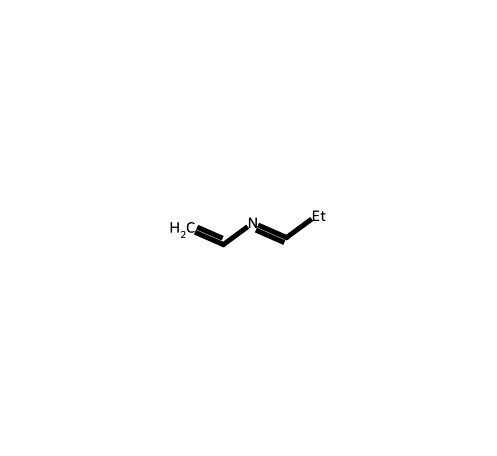 C=C/N=C/CC